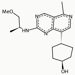 COC[C@H](C)Nc1ncc2c(C)ncc([C@H]3CC[C@H](O)CC3)c2n1